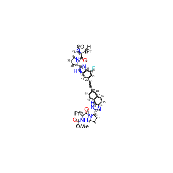 COC(=O)N[C@H](C(=O)N1CCC[C@H]1c1nc2ccc3cc(C#Cc4cc(F)c5nc([C@@H]6CCCN6C(=O)[C@H](C(C)C)N(C)C(=O)O)[nH]c5c4)ccc3c2[nH]1)C(C)C